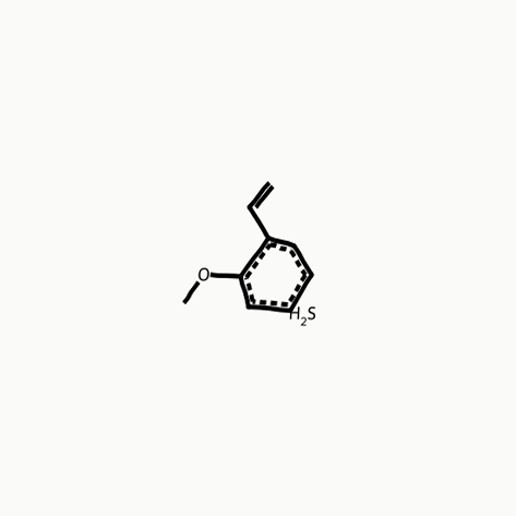 C=Cc1ccccc1OC.S